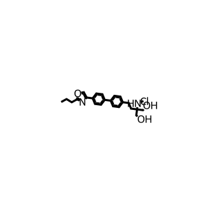 CCCc1nc(-c2ccc(-c3ccc(CCC(CO)(CO)NCl)cc3)cc2)co1